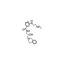 NCCNc1cc(C(=O)NC[C@H](O)CN2CCc3ccccc3C2)ccn1